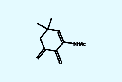 C=C1CC(C)(C)C=C(NC(C)=O)C1=O